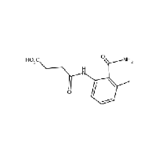 Cc1cccc(NC(=O)CCC(=O)O)c1C(N)=O